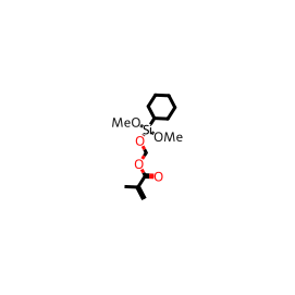 C=C(C)C(=O)OCO[Si](OC)(OC)C1CCCCC1